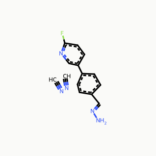 C#N.C#N.NN=Cc1ccc(-c2ccc(F)nc2)cc1